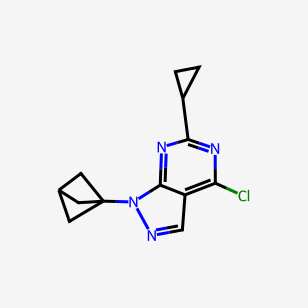 Clc1nc(C2CC2)nc2c1cnn2C12CC(C1)C2